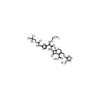 CCO/N=C(\C(=O)N[C@@H]1C(=O)N2C(C(=O)O)=C(CSc3nnnn3C)CS[C@H]12)c1csc(NC(=O)OCC(Cl)(Cl)Cl)n1